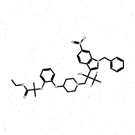 CCOC(=O)C(C)(C)Oc1ccccc1OC1CCN(CC(O)(c2cn(Cc3ccccc3)c3cc([N+](=O)[O-])ccc23)C(F)(F)F)CC1